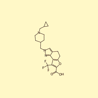 O=C(O)c1oc2c(c1C(F)(F)F)-c1nn(CC3CCN(CC4CC4)CC3)cc1CC2